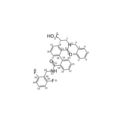 O=C(O)CCN(Cc1ccccc1)C(=O)c1ccccc1-c1ccccc1C(=O)NCc1c(F)cccc1F